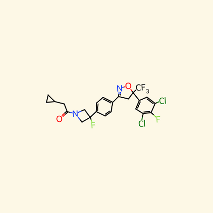 O=C(CC1CC1)N1CC(F)(c2ccc(C3=NOC(c4cc(Cl)c(F)c(Cl)c4)(C(F)(F)F)C3)cc2)C1